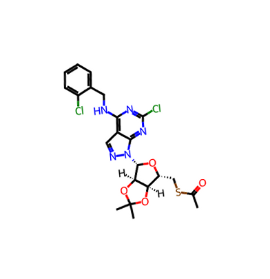 CC(=O)SC[C@H]1O[C@@H](n2ncc3c(NCc4ccccc4Cl)nc(Cl)nc32)[C@@H]2OC(C)(C)O[C@@H]21